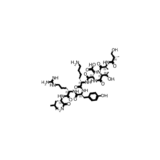 CC(C)C[C@H](NC(=O)[C@H](CCCNC(=N)N)NC(=O)[C@H](Cc1ccc(O)cc1)NC(=O)[C@H](CCCCN)NC(=O)[C@H](CC(=O)O)NC(=O)[C@@H](NC(=O)[C@H](C)NC(=O)[C@@H](C)CO)[C@@H](C)O)C(N)=O